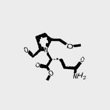 COCc1ccc(C=O)n1[C@H](CCC(N)=O)C(=O)OC